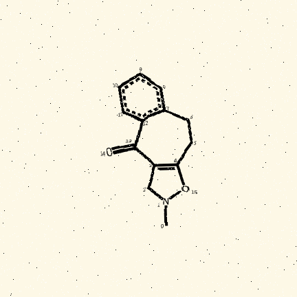 CN1CC2=C(CCc3ccccc3C2=O)O1